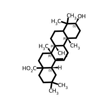 CC1(C)CCC2(C(=O)O)CC[C@@]3(C)C(=CCC4[C@@]5(C)CC[C@H](O)C(C)(C)C5CC[C@]43C)[C@@H]2C1